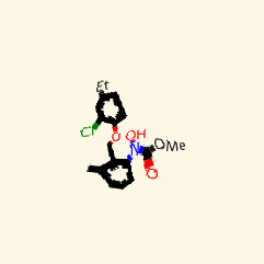 CCc1ccc(OCc2c(C)cccc2N(O)C(=O)OC)c(Cl)c1